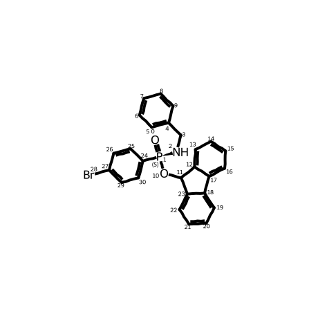 O=[P@](NCc1ccccc1)(OC1c2ccccc2-c2ccccc21)c1ccc(Br)cc1